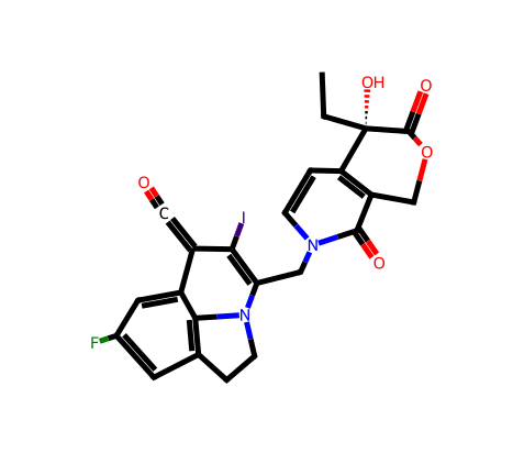 CC[C@@]1(O)C(=O)OCc2c1ccn(CC1=C(I)C(=C=O)c3cc(F)cc4c3N1CC4)c2=O